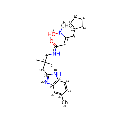 CC(C)(CNC(=O)CC(CC1CCCC1)N(O)C=O)Cc1nc2cc(C#N)ccc2[nH]1